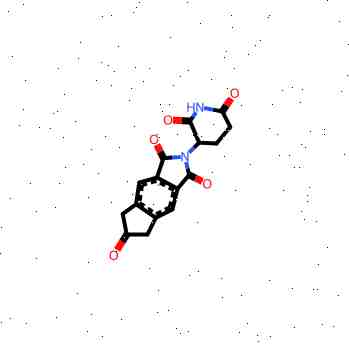 O=C1Cc2cc3c(cc2C1)C(=O)N(C1CCC(=O)NC1=O)C3=O